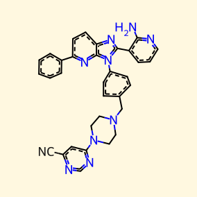 N#Cc1cc(N2CCN(Cc3ccc(-n4c(-c5cccnc5N)nc5ccc(-c6ccccc6)nc54)cc3)CC2)ncn1